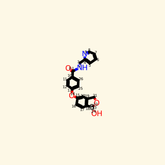 O=C(NCc1ccccn1)c1ccc(Oc2ccc3c(c2)COB3O)cc1